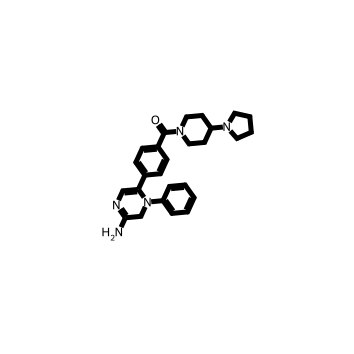 NC1=NC=C(c2ccc(C(=O)N3CCC(N4CCCC4)CC3)cc2)N(c2ccccc2)C1